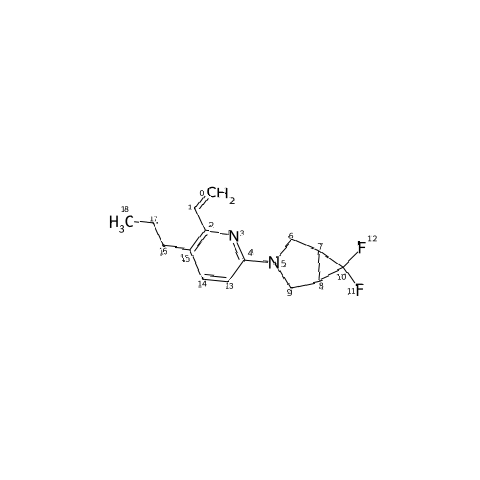 C=Cc1nc(N2CC3C(C2)C3(F)F)ccc1C[CH]C